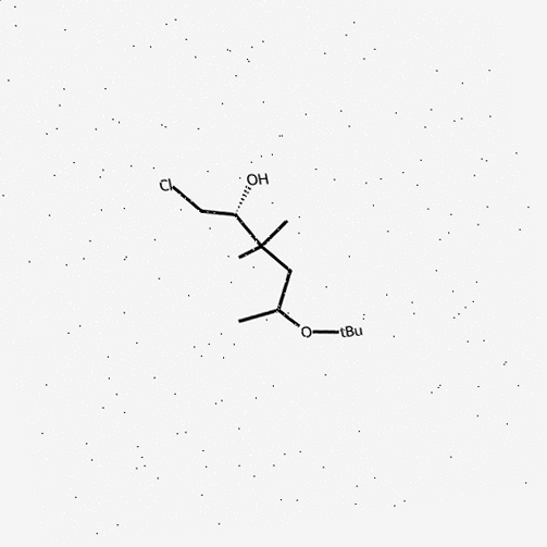 CC(CC(C)(C)[C@@H](O)CCl)OC(C)(C)C